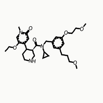 CCOc1cn(C)c(=O)cc1C1CCNC[C@@H]1C(=O)N(Cc1cc(CCCOC)cc(OCCOC)c1)C1CC1